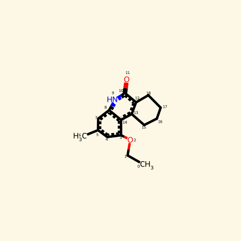 CCOc1cc(C)cc2[nH]c(=O)c3c(c12)CCCC3